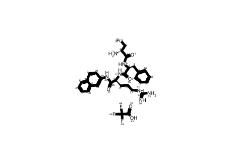 CC(C)C[C@@H](N)C(=O)N[C@@H](Cc1ccccc1)C(=O)N[C@@H](CCCNC(=N)N)C(=O)Nc1ccc2ccccc2c1.O=C(O)C(F)(F)F